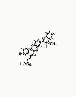 C[C@H](NC(=O)c1ccc2nc(-c3ccc(F)cc3)c(CCCCC(=O)O)nc2c1)c1ccccc1